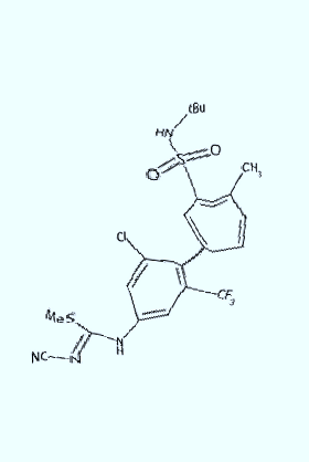 CS/C(=N\C#N)Nc1cc(Cl)c(-c2ccc(C)c(S(=O)(=O)NC(C)(C)C)c2)c(C(F)(F)F)c1